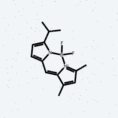 CC1=CC(C)=[N+]2C1=Cc1ccc(C(C)C)n1[B-]2(F)F